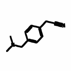 CN(C)Cc1ccc(CC#N)cc1